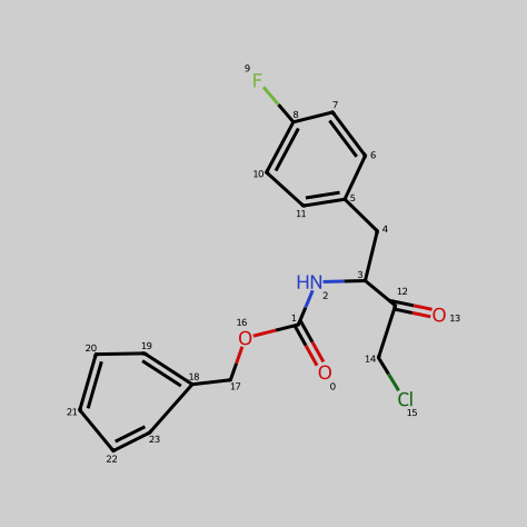 O=C(NC(Cc1ccc(F)cc1)C(=O)CCl)OCc1ccccc1